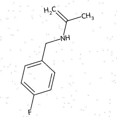 C=C(C)NCc1ccc(F)cc1